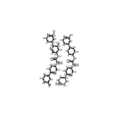 Cc1cc(-c2ccc(CC(=O)Nc3ccc(C4=CCNCC4)nc3)cc2)ccn1.Cc1cc(-c2ncc(CC(=O)Nc3ccc(-c4cccc(F)c4)nc3)cc2C)ccn1